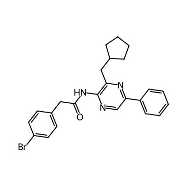 O=C(Cc1ccc(Br)cc1)Nc1ncc(-c2ccccc2)nc1CC1CCCC1